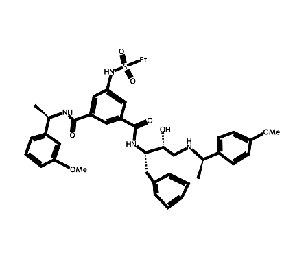 CCS(=O)(=O)Nc1cc(C(=O)N[C@@H](Cc2ccccc2)[C@H](O)CN[C@H](C)c2ccc(OC)cc2)cc(C(=O)N[C@H](C)c2cccc(OC)c2)c1